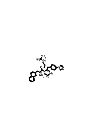 C[C@@H]1CN(C(=O)[C@H](N)Cc2ccc3ccccc3c2)[C@@](CCCNC(=N)N)(Cc2ccc(-n3ccnc3)cc2)CN1